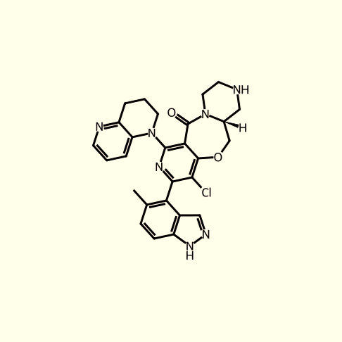 Cc1ccc2[nH]ncc2c1-c1nc(N2CCCc3ncccc32)c2c(c1Cl)OC[C@H]1CNCCN1C2=O